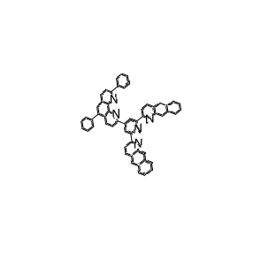 c1ccc(-c2ccc3cc(-c4ccccc4)c4ccc(-c5cc(-c6ccc7cc8ccccc8cc7n6)nc(-c6ccc7cc8ccccc8cc7n6)c5)nc4c3n2)cc1